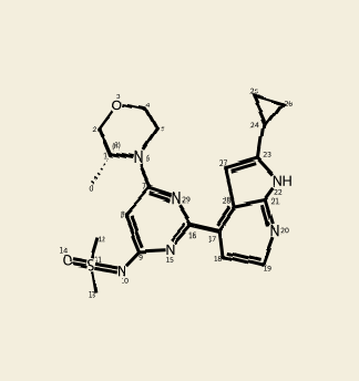 C[C@@H]1COCCN1c1cc(N=S(C)(C)=O)nc(-c2ccnc3[nH]c(C4CC4)cc23)n1